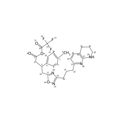 Cc1ccc(C(CC(=O)OC(=O)C(F)(F)F)Cc2nc(CCCc3ccc4c(n3)NCCC4)no2)cc1